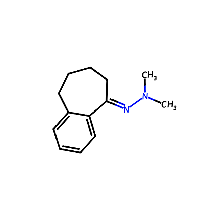 CN(C)N=C1CCCCc2ccccc21